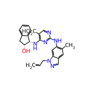 C=CCn1ncc2cc(C)c(Nc3ncc(C(=O)O)c(N[C@H]4c5ccccc5C[C@H]4O)n3)cc21